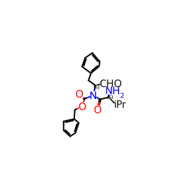 CC(C)[C@H](N)C(=O)N(C(=O)OCc1ccccc1)[C@H](C=O)Cc1ccccc1